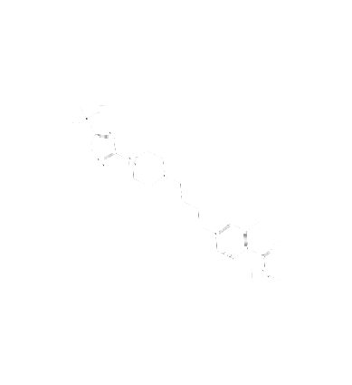 CNC(=O)c1ccc(OCCCC2CCN(c3noc(C(C)(F)F)n3)CC2)cc1C